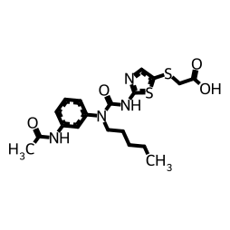 CCCCCN(C(=O)Nc1ncc(SCC(=O)O)s1)c1cccc(NC(C)=O)c1